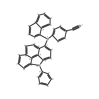 N#Cc1ccc(N(c2cccc3ccccc23)c2ccc3c4c2ccc2cccc(c24)n3-c2ccccc2)cc1